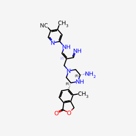 Cc1cc(N/C=C(\C=N)CN2C[C@@H](c3ccc4c(c3C)COC4=O)N[C@@H](N)C2)ncc1C#N